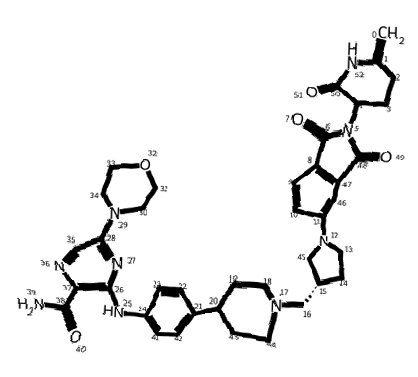 C=C1CCC(N2C(=O)c3ccc(N4CC[C@H](CN5CCC(c6ccc(Nc7nc(N8CCOCC8)cnc7C(N)=O)cc6)CC5)C4)cc3C2=O)C(=O)N1